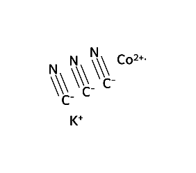 [C-]#N.[C-]#N.[C-]#N.[Co+2].[K+]